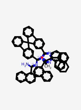 C=C(/N=C(\N=C(/N)c1cccc2ccccc12)c1ccc2c(c1)C1(c3ccccc3-2)c2ccccc2-c2ccc(-c3nc(-c4cccc5c4C=CCC5)nc(-c4cccc5ccccc45)n3)cc21)c1cccc2ccccc12